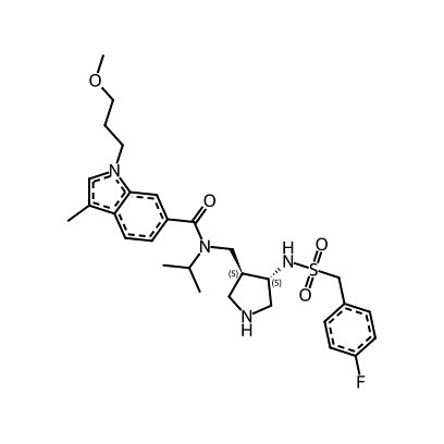 COCCCn1cc(C)c2ccc(C(=O)N(C[C@@H]3CNC[C@H]3NS(=O)(=O)Cc3ccc(F)cc3)C(C)C)cc21